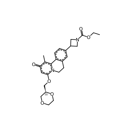 CCOC(=O)N1CC(c2ccc3c(c2)CCn2c(OC[C@@H]4COCCO4)cc(=O)c(C)c2-3)C1